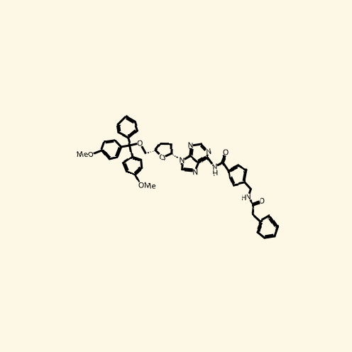 COc1ccc(C(OC[C@@H]2CC[C@H](n3cnc4c(NC(=O)c5ccc(CNC(=O)Cc6ccccc6)cc5)ncnc43)O2)(c2ccccc2)c2ccc(OC)cc2)cc1